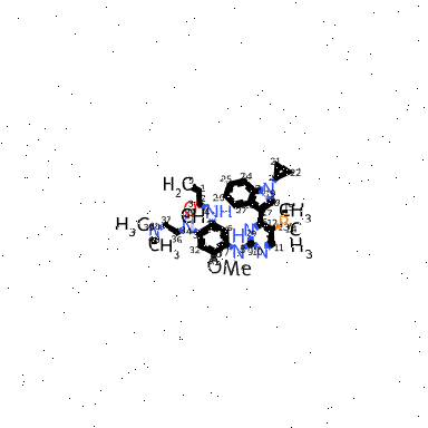 C=CC(=O)Nc1cc(Nc2ncc(P(C)C)c(-c3cn(C4CC4)c4ccccc34)n2)c(OC)cc1N(C)CCN(C)C